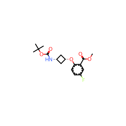 COC(=O)c1cc(F)ccc1O[C@H]1C[C@@H](NC(=O)OC(C)(C)C)C1